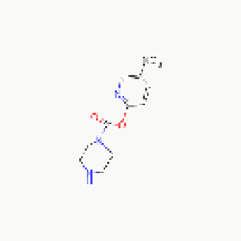 O=C(Oc1ccc([N+](=O)[O-])cn1)N1CCNCC1